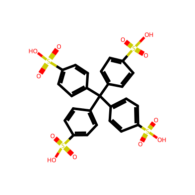 O=S(=O)(O)c1ccc(C(c2ccc(S(=O)(=O)O)cc2)(c2ccc(S(=O)(=O)O)cc2)c2ccc(S(=O)(=O)O)cc2)cc1